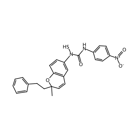 CC1(CCc2ccccc2)C=Cc2cc(N(S)C(=O)Nc3ccc([N+](=O)[O-])cc3)ccc2O1